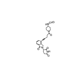 O=CNC1CCN(C(=O)CCC#Cc2cccc3c2CN(C2CCC(=O)NC2=O)C3=O)CC1